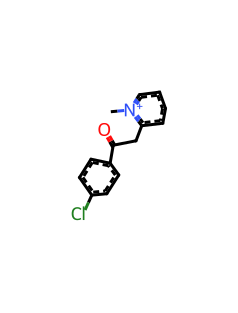 C[n+]1ccccc1CC(=O)c1ccc(Cl)cc1